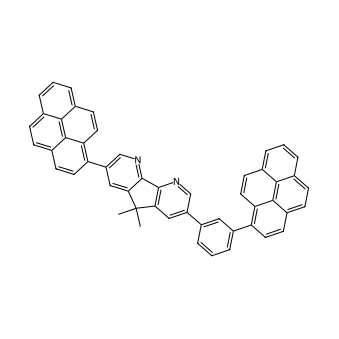 CC1(C)c2cc(-c3cccc(-c4ccc5ccc6cccc7ccc4c5c67)c3)cnc2-c2ncc(-c3ccc4ccc5cccc6ccc3c4c56)cc21